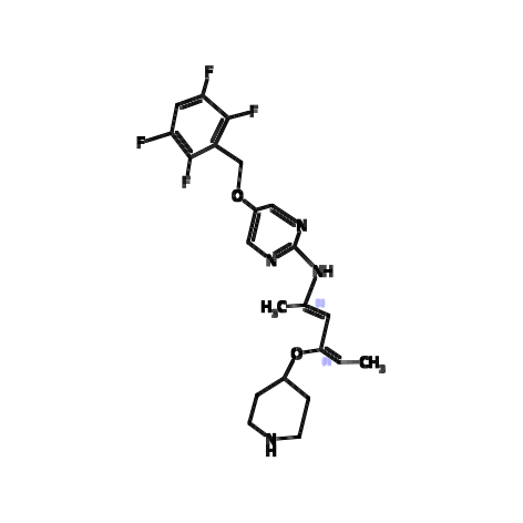 C/C=C(\C=C(/C)Nc1ncc(OCc2c(F)c(F)cc(F)c2F)cn1)OC1CCNCC1